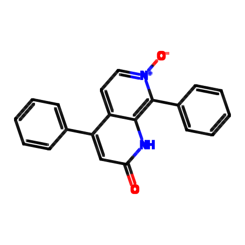 O=c1cc(-c2ccccc2)c2cc[n+]([O-])c(-c3ccccc3)c2[nH]1